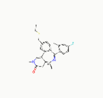 CCSCc1ccc2c(c1)C1=CN(C)C(=O)CC1[C@H](C)N=C2c1ccc(F)cc1C